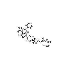 NC(=O)c1cc(-c2ccccc2)cc2c(C3CCN(S(=O)(=O)CCCNC(CO)CO)CC3)n[nH]c12